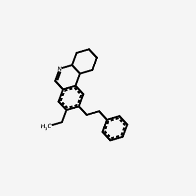 CCc1cc2c(cc1CCc1ccccc1)C1CCCCC1N=C2